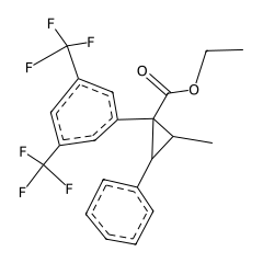 CCOC(=O)C1(c2cc(C(F)(F)F)cc(C(F)(F)F)c2)C(C)C1c1ccccc1